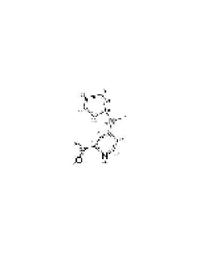 CC(=O)c1cc(N(C)c2ccccc2)ccn1